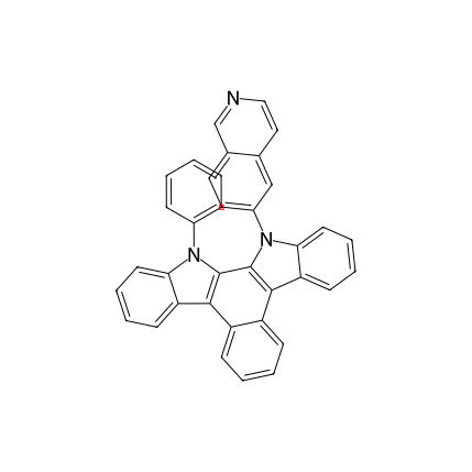 c1ccc(-n2c3ccccc3c3c4ccccc4c4c5ccccc5n(-c5ccc6cnccc6c5)c4c32)cc1